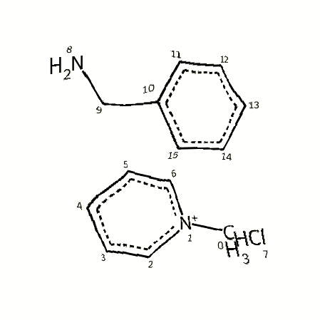 C[n+]1ccccc1.Cl.NCc1ccccc1